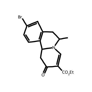 CCOC(=O)C1=CN2C(C)Cc3cc(Br)ccc3C2CC1=O